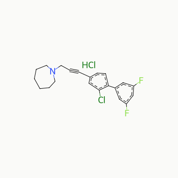 Cl.Fc1cc(F)cc(-c2ccc(C#CCN3CCCCCC3)cc2Cl)c1